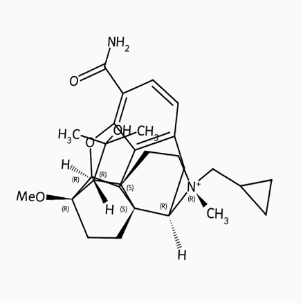 CO[C@]12CC[C@@]3(C[C@@H]1C(C)(C)O)[C@H]1Cc4ccc(C(N)=O)c5c4[C@@]3(CC[N@+]1(C)CC1CC1)[C@H]2O5